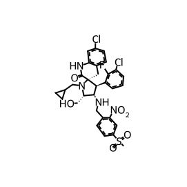 CS(=O)(=O)c1ccc(CN[C@@H]2[C@H](CO)N(CC3CC3)[C@]3(Cc4ccc(Cl)cc4NC3=O)[C@H]2c2cccc(Cl)c2F)c([N+](=O)[O-])c1